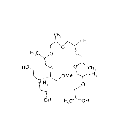 COCC(C)OCC(C)OCC(C)OCC(C)OCC(C)OCC(C)OCC(C)O.OCCOCCO